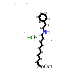 CCCCCCCC/C=C\CCCCCCCCNCCc1ccccc1.Cl